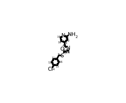 Nc1cc(-c2nnc(SCc3ccc(Cl)cc3)o2)ccn1